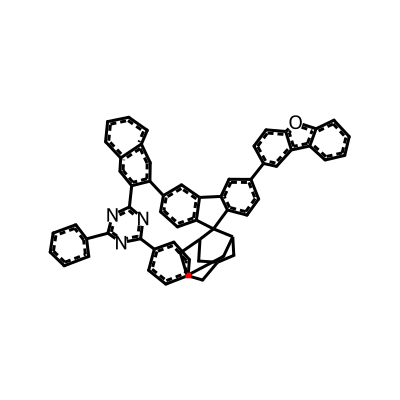 c1ccc(-c2nc(-c3ccccc3)nc(-c3cc4ccccc4cc3-c3ccc4c(c3)-c3cc(-c5ccc6oc7ccccc7c6c5)ccc3C43C4CC5CC(C4)CC3C5)n2)cc1